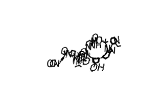 CCc1ncccc1-c1nc2ccc3cc2n1CC(C)(C)COC(=O)[C@@H]1CCCN(N1)C(=O)[C@@H](NC(=O)[C@H](C(C)C)N(C)C(=O)[C@H]1CCN(C(=O)C#CCN2CCOCC2)C1)Cc1cc(O)cc-3c1